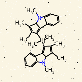 CC1=C(C)C2C(=[C]1[Hf]([CH3])([CH3])[C]1=C3c4ccccc4N(C)C3C(C)=C1C)c1ccccc1N2C